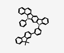 CC1(C)c2ccccc2-c2ccc(-c3cccc(-n4c5ccccc5c5cc6c7ccc8ccccc8c7n(-c7ccccc7)c6cc54)c3)cc21